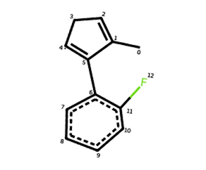 CC1=CC[C]=C1c1ccccc1F